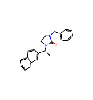 C[C@@H](c1ccc2ccccc2c1)N1CCN(Cc2ccccc2)C1=O